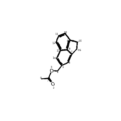 CC(=O)OCc1cc2c3c(cccc3c1)CC2